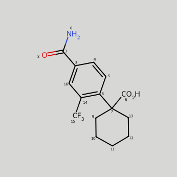 NC(=O)c1ccc(C2(C(=O)O)CCCCC2)c(C(F)(F)F)c1